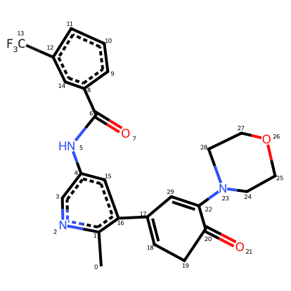 Cc1ncc(NC(=O)c2cccc(C(F)(F)F)c2)cc1C1=CCC(=O)C(N2CCOCC2)=C1